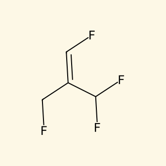 FC=C(CF)C(F)F